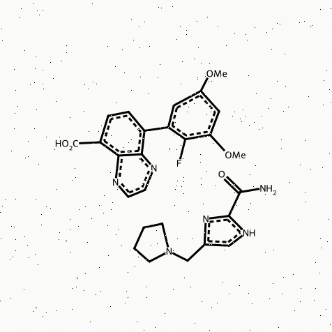 COc1cc(OC)c(F)c(-c2ccc(C(=O)O)c3nccnc23)c1.NC(=O)c1nc(CN2CCCC2)c[nH]1